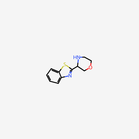 c1ccc2sc(C3COCCN3)nc2c1